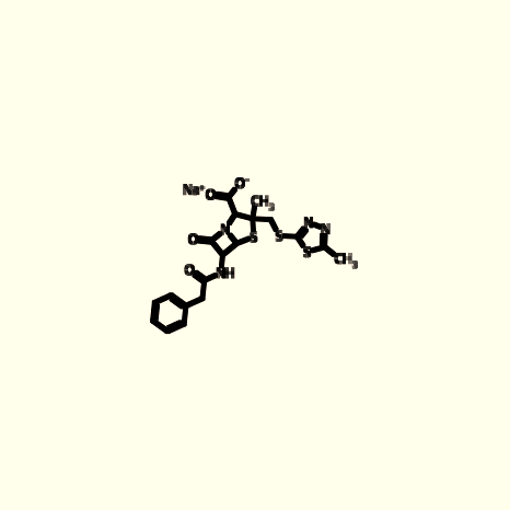 Cc1nnc(SCC2(C)SC3C(NC(=O)Cc4ccccc4)C(=O)N3C2C(=O)[O-])s1.[Na+]